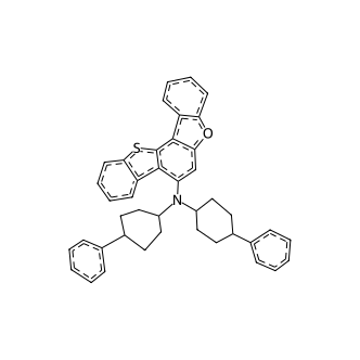 c1ccc(C2CCC(N(c3cc4oc5ccccc5c4c4sc5ccccc5c34)C3CCC(c4ccccc4)CC3)CC2)cc1